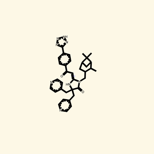 CC1C(CN2C(=O)C(Cc3ccncc3)(Cc3ccncc3)N/C2=C\C(=O)c2ccc(-c3nn[nH]n3)cc2)CC2CC1C2(C)C